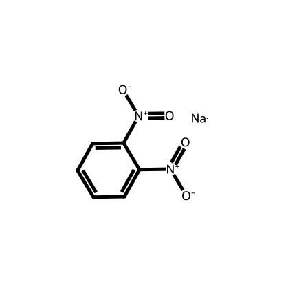 O=[N+]([O-])c1ccccc1[N+](=O)[O-].[Na]